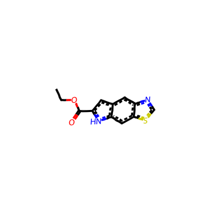 CCOC(=O)c1cc2cc3ncsc3cc2[nH]1